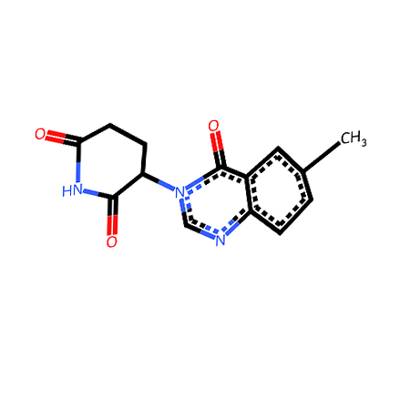 Cc1ccc2ncn(C3CCC(=O)NC3=O)c(=O)c2c1